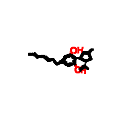 C=C(C)[C@H]1CC(C)=C[C@@H]1c1c(O)cc(CCCCCCC)cc1O